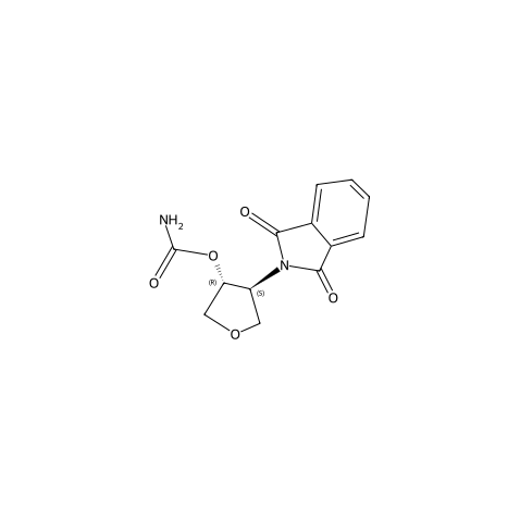 NC(=O)O[C@H]1COC[C@@H]1N1C(=O)c2ccccc2C1=O